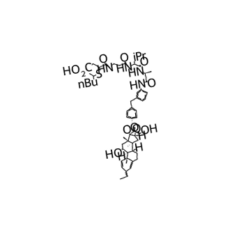 C/C=C1\C=C[C@@]2(C)C(=C1)CC[C@@H]1[C@@H]2[C@@H](O)C[C@@]2(C)[C@@]1(C)C[C@H]1O[C@@H](c3ccc(Cc4cccc(NC(=O)[C@H](C)NC(=O)[C@@H](NC(=O)CCNC(=O)C(CC(=O)O)SC(C)CCCC)C(C)C)c4)cc3)O[C@]12C(=O)CO